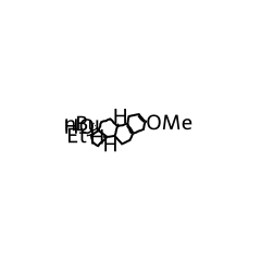 CCCC[C@]12CC[C@@H]3C4=C(CC[C@H]3[C@@H]1CC[C@@]2(O)CC)CC(OC)=CC4